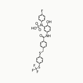 O=C(Nc1ccc(O)c(N(c2ccc(F)cc2)S(=O)(=O)O)c1)c1ccc(CSc2ccc(SC(F)(F)F)cc2)cc1